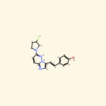 FC1CCN(c2ccc3ncc(/C=C/c4ccc(Br)cc4)n3n2)C1